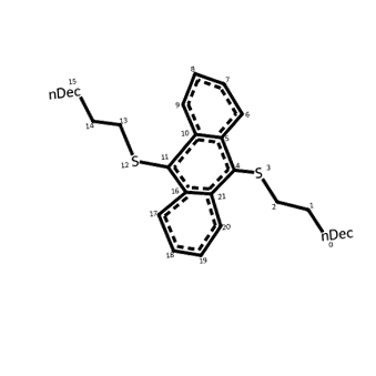 CCCCCCCCCCCCSc1c2ccccc2c(SCCCCCCCCCCCC)c2ccccc12